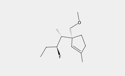 CC[C@H](F)[C@H](C)[C@]1(COC)C=C(C)CC1